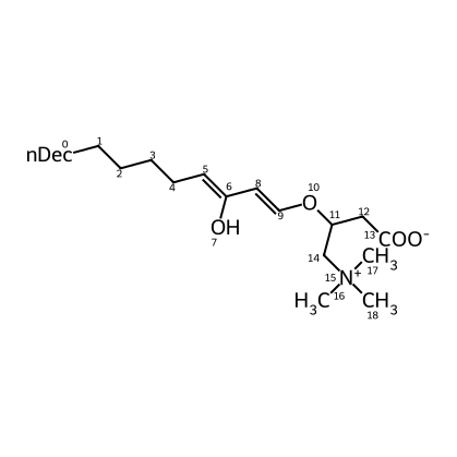 CCCCCCCCCCCCCCC=C(O)C=COC(CC(=O)[O-])C[N+](C)(C)C